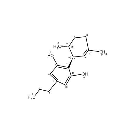 CCCc1cc(O)c([C@@H]2C=C(C)CC[C@H]2C)c(O)c1